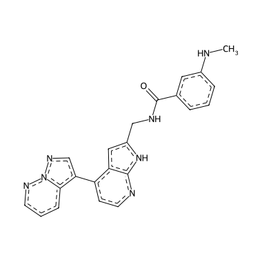 CNc1cccc(C(=O)NCc2cc3c(-c4cnn5ncccc45)ccnc3[nH]2)c1